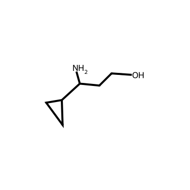 NC(CCO)C1CC1